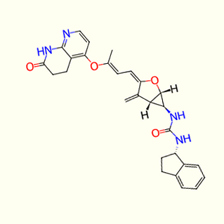 C=C1/C(=C\C=C(/C)Oc2ccnc3c2CCC(=O)N3)O[C@@H]2[C@@H](NC(=O)N[C@H]3CCc4ccccc43)[C@H]12